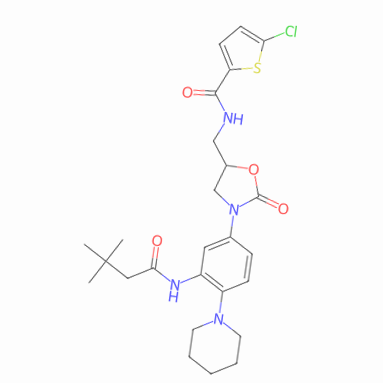 CC(C)(C)CC(=O)Nc1cc(N2CC(CNC(=O)c3ccc(Cl)s3)OC2=O)ccc1N1CCCCC1